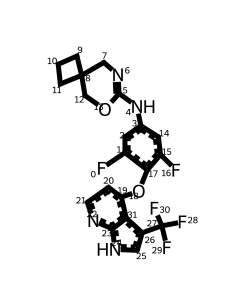 Fc1cc(NC2=NCC3(CCC3)CO2)cc(F)c1Oc1ccnc2[nH]cc(C(F)(F)F)c12